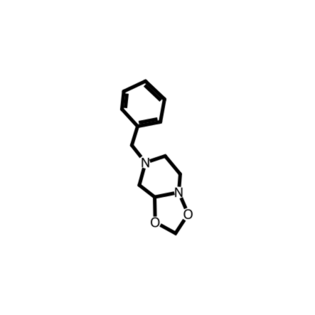 c1ccc(CN2CCN3OCOC3C2)cc1